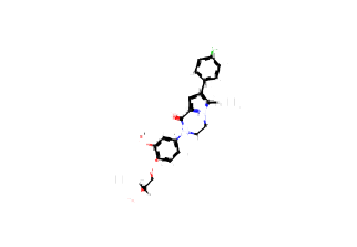 COc1cc(N2CCn3c(cc(-c4ccc(Cl)cc4)c3C)C2=O)ccc1OCC(C)(C)O